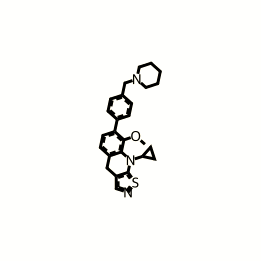 COc1c(-c2ccc(CN3CCCCC3)cc2)ccc2c1N(C1CC1)c1sncc1C2